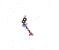 COc1ccc2cc(C(C)C(=O)NCCSSCCO[N+](=O)[O-])ccc2c1